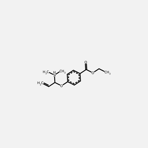 C=CC(Oc1ccc(C(=O)OCC)cc1)[SiH](C)C